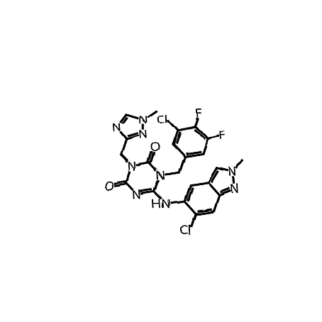 Cn1cnc(Cn2c(=O)nc(Nc3cc4cn(C)nc4cc3Cl)n(Cc3cc(F)c(F)c(Cl)c3)c2=O)n1